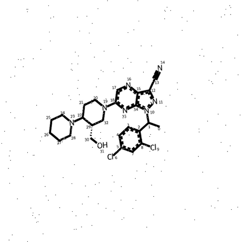 CC(c1ccc(Cl)cc1Cl)n1nc(C#N)c2ncc(N3CCC(N4CCCCC4)[C@@H](CO)C3)nc21